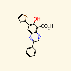 O=C(O)c1c(O)c(-c2cccs2)cc2nc(-c3ccccc3)cnc12